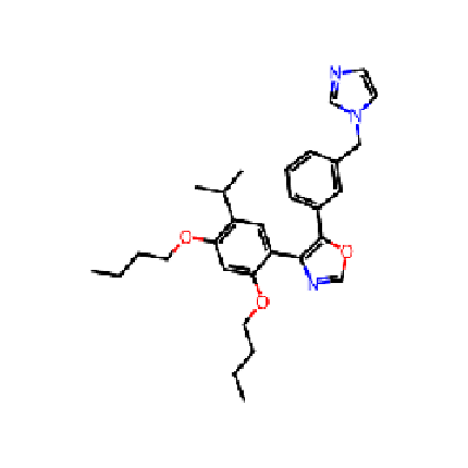 CCCCOc1cc(OCCCC)c(C(C)C)cc1-c1ncoc1-c1cccc(Cn2ccnc2)c1